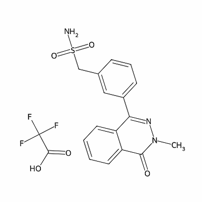 Cn1nc(-c2cccc(CS(N)(=O)=O)c2)c2ccccc2c1=O.O=C(O)C(F)(F)F